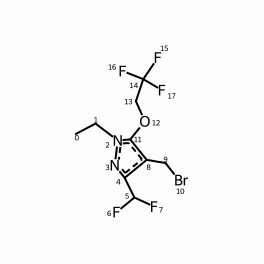 CCn1nc(C(F)F)c(CBr)c1OCC(F)(F)F